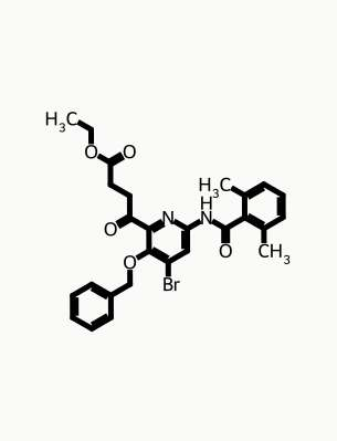 CCOC(=O)CCC(=O)c1nc(NC(=O)c2c(C)cccc2C)cc(Br)c1OCc1ccccc1